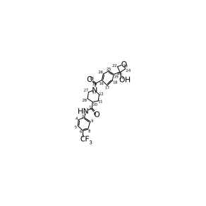 O=C(Nc1ccc(C(F)(F)F)cc1)C1CCN(C(=O)c2ccc(C3(O)COC3)cc2)CC1